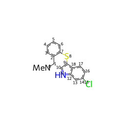 CNCc1ccccc1Sc1c[nH]c2cc(Cl)ccc12